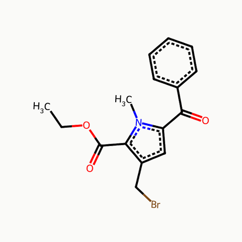 CCOC(=O)c1c(CBr)cc(C(=O)c2ccccc2)n1C